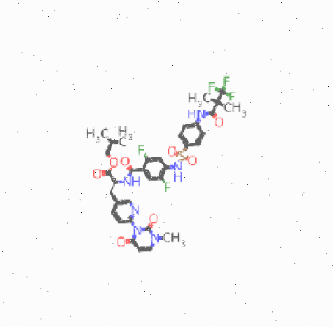 CC(C)COC(=O)[C@H](Cc1ccc(-n2c(=O)ccn(C)c2=O)nc1)NC(=O)c1cc(F)c(NS(=O)(=O)c2ccc(NC(=O)C(C)(C)C(F)(F)F)cc2)cc1F